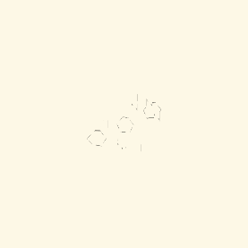 Cc1ccccc1C(=NO)c1ccc(Nc2cnccn2)cc1Cl